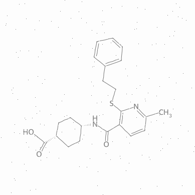 Cc1ccc(C(=O)N[C@H]2CC[C@@H](C(=O)O)CC2)c(SCCc2ccccc2)n1